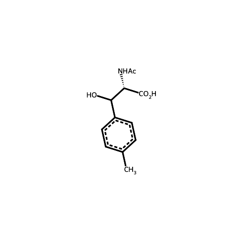 CC(=O)N[C@H](C(=O)O)C(O)c1ccc(C)cc1